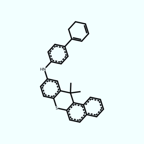 CC1(C)c2cc(Nc3ccc(C4=CC=CCC4)cc3)ccc2Sc2ccc3ccccc3c21